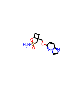 NS(=O)(=O)CC1(COc2ccc3nccn3n2)CCC1